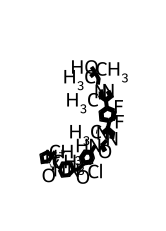 Cc1c(-c2ccc(-c3cnc(C(=O)Nc4ccc(C(=O)N5CCN(C(=O)[C@@H]6CCC[N+]6(C)C)CC5)c(Cl)c4)n3C)c(F)c2F)cnn1CCC(C)(C)O